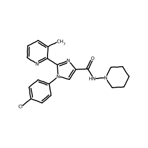 Cc1cccnc1-c1nc(C(=O)NN2CCCCC2)cn1-c1ccc(Cl)cc1